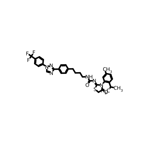 Cc1ccc(C(C)C)c(N2C(=O)CS/C2=N\C(=O)NCCCCc2ccc(-c3ncn(-c4ccc(C(F)(F)F)cc4)n3)cc2)c1